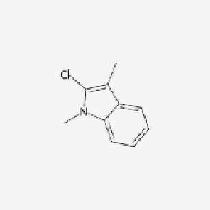 Cc1c(Cl)n(C)c2ccccc12